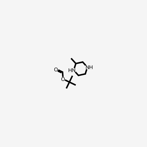 CC(C)(C)OC=O.CC1CNCCN1